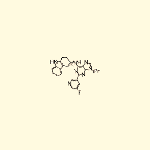 CC(C)n1cnc2c(N[C@@H]3CCc4[nH]c5ccccc5c4C3)nc(-c3cncc(F)c3)nc21